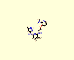 CC(=O)N(C)c1ncccc1OCCNc1nc(Nc2cc(C)[nH]n2)cc(C)c1C#N